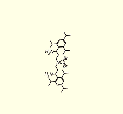 CC(C)c1cc(C(C)C)c(C(N)CC[N](CCC(N)c2c(C(C)C)cc(C(C)C)cc2C(C)C)[Co]([Br])[Br])c(C(C)C)c1